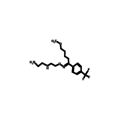 COCCCCC(=NOCCNCCN)c1ccc(C(F)(F)F)cc1